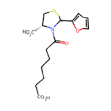 O=C(O)CCCCCC(=O)N1C(c2ccco2)SC[C@H]1C(=O)O